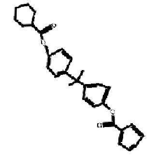 CC(C)(c1ccc(OC(=O)c2ccccc2)cc1)c1ccc(OC(=O)C2CCCCC2)cc1